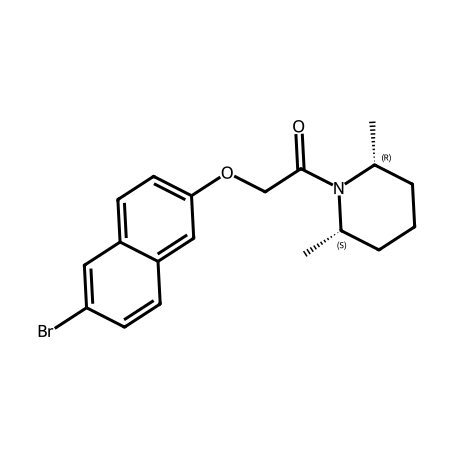 C[C@@H]1CCC[C@H](C)N1C(=O)COc1ccc2cc(Br)ccc2c1